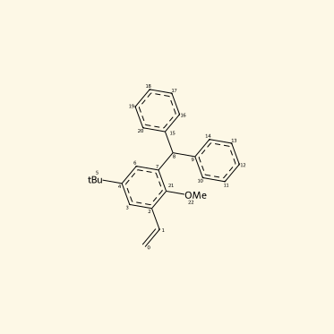 C=Cc1cc(C(C)(C)C)cc(C(c2ccccc2)c2ccccc2)c1OC